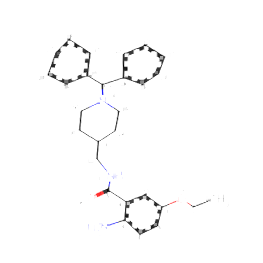 CCOc1ccc(N)c(C(=O)NCC2CCN(C(c3ccccc3)c3ccccc3)CC2)c1